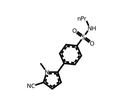 CCCNS(=O)(=O)c1ccc(-c2ccc(C#N)n2C)cc1